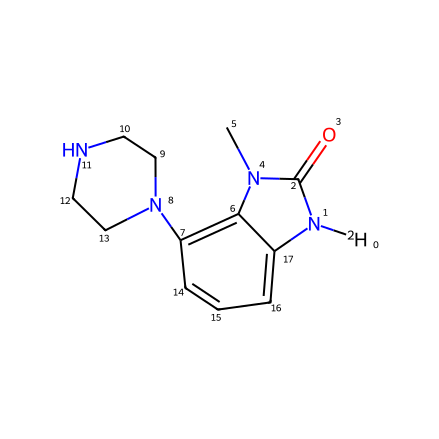 [2H]n1c(=O)n(C)c2c(N3CCNCC3)cccc21